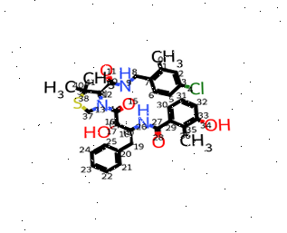 Cc1cc(Cl)ccc1CNC(=O)[C@H]1N(C(=O)[C@@H](O)[C@H](Cc2ccccc2)NC(=O)c2cccc(O)c2C)CSC1(C)C